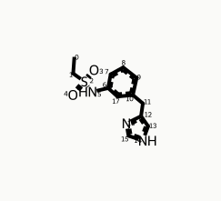 CCS(=O)(=O)Nc1cccc(Cc2c[nH]cn2)c1